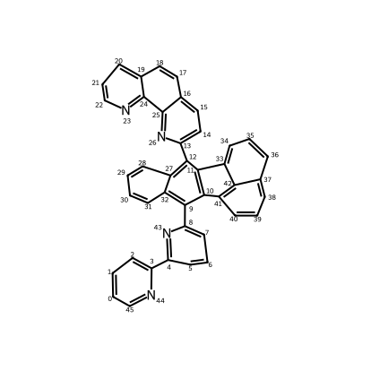 c1ccc(-c2cccc(-c3c4c(c(-c5ccc6ccc7cccnc7c6n5)c5ccccc35)-c3cccc5cccc-4c35)n2)nc1